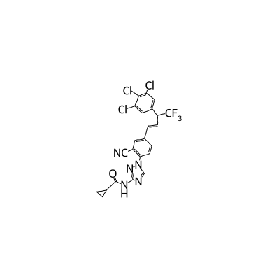 N#Cc1cc(C=CC(c2cc(Cl)c(Cl)c(Cl)c2)C(F)(F)F)ccc1-n1cnc(NC(=O)C2CC2)n1